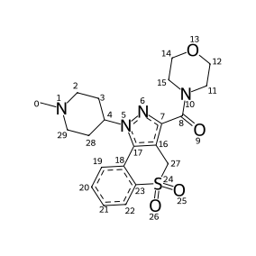 CN1CCC(n2nc(C(=O)N3CCOCC3)c3c2-c2ccccc2S(=O)(=O)C3)CC1